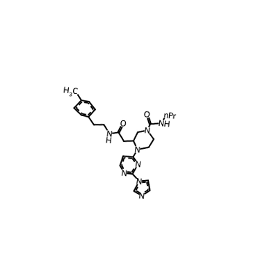 CCCNC(=O)N1CCN(c2ccnc(-n3ccnc3)n2)C(CC(=O)NCCc2ccc(C)cc2)C1